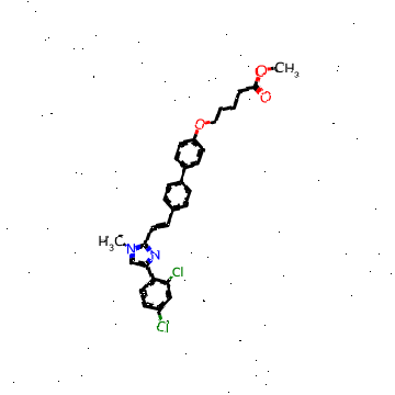 COC(=O)CCCCOc1ccc(-c2ccc(C=Cc3nc(-c4ccc(Cl)cc4Cl)cn3C)cc2)cc1